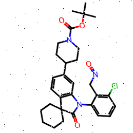 CC(C)(C)OC(=O)N1CCC(c2ccc3c(c2)N(c2cccc(Cl)c2CN=O)C(=O)C32CCCCC2)CC1